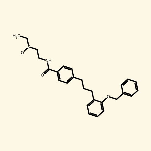 CC[S+]([O-])CCNC(=O)c1ccc(CCCc2ccccc2OCc2ccccc2)cc1